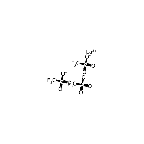 O=S(=O)([O-])C(F)(F)F.O=S(=O)([O-])C(F)(F)F.O=S(=O)([O-])C(F)(F)F.[La+3]